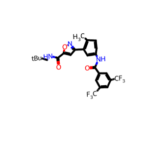 Cc1ccc(NC(=O)c2cc(C(F)(F)F)cc(C(F)(F)F)c2)cc1-c1cc(C(=O)NCC(C)(C)C)on1